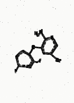 Nc1ncc(Br)cc1Oc1ccc(F)cc1F